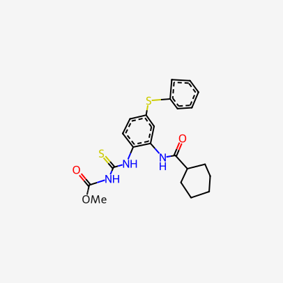 COC(=O)NC(=S)Nc1ccc(Sc2ccccc2)cc1NC(=O)C1CCCCC1